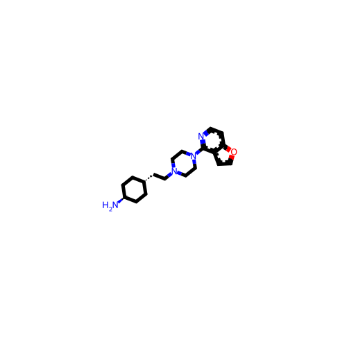 N[C@H]1CC[C@H](CCN2CCN(c3nccc4occc34)CC2)CC1